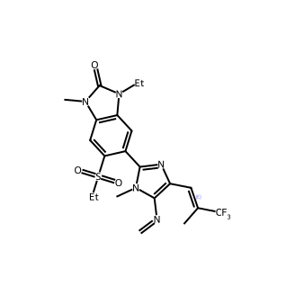 C=Nc1c(/C=C(\C)C(F)(F)F)nc(-c2cc3c(cc2S(=O)(=O)CC)n(C)c(=O)n3CC)n1C